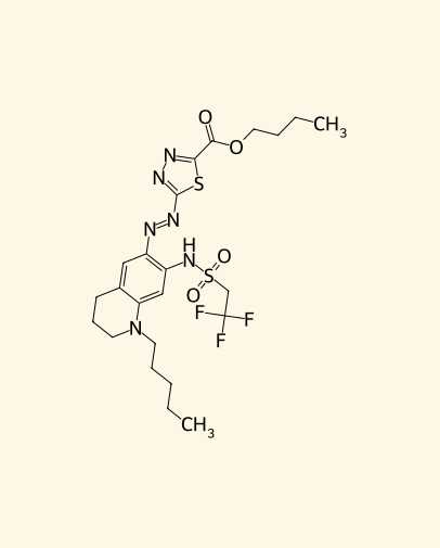 CCCCCN1CCCc2cc(N=Nc3nnc(C(=O)OCCCC)s3)c(NS(=O)(=O)CC(F)(F)F)cc21